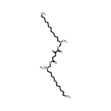 CCCCCCCCCCCCN(C)COC(=O)CCC(=O)C(=O)OCN(C)CCCCCCCCCCCC